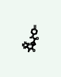 CN(C(=O)C12CC(C(=O)N(C)C3CCNCC3)(C1)C2)c1nnn[nH]1